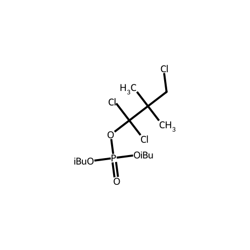 CC(C)COP(=O)(OCC(C)C)OC(Cl)(Cl)C(C)(C)CCl